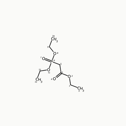 CCOC(=O)[CH]P(=O)(OCC)OCC